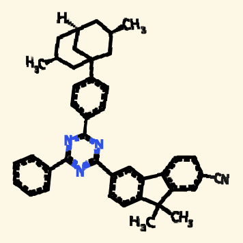 C[C@@H]1C[C@@H]2C[C@H](C)CC(c3ccc(-c4nc(-c5ccccc5)nc(-c5ccc6c(c5)-c5ccc(C#N)cc5C6(C)C)n4)cc3)(C1)C2